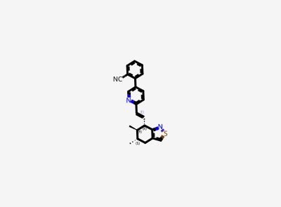 C[C@H]1[C@H](/C=C/c2ccc(-c3ccccc3C#N)cn2)c2nscc2C[C@@H]1C